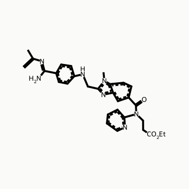 C=C(C)/N=C(\N)c1ccc(NCc2nc3cc(C(=O)N(CCC(=O)OCC)c4ccccn4)ccc3n2C)cc1